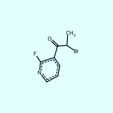 CC(Br)C(=O)c1cccnc1F